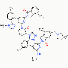 Cn1cnnc1-c1ccc(C#N)cc1-c1cc(N2Cc3c(cccc3C(F)(F)F)C2=O)nc(N2CCCC(n3cnnc3-c3ccc(C#N)cc3-c3cc(NC4CCC4)nc(N4Cc5c(cc(CN6CCC7(CC7)C6)cc5C(F)(F)F)C4=O)c3)C2=O)c1